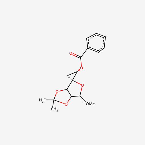 COC1O[C@@]2(C[C@H]2OC(=O)c2ccccc2)C2OC(C)(C)OC12